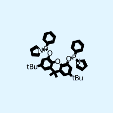 CC(C)(C)c1cc(OP(c2ccccc2)n2cccc2)c2c(c1)C(C)(C)c1cc(C(C)(C)C)cc(OP(c3ccccc3)n3cccc3)c1O2